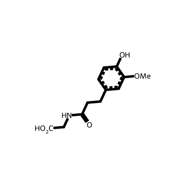 COc1cc(CCC(=O)NCC(=O)O)ccc1O